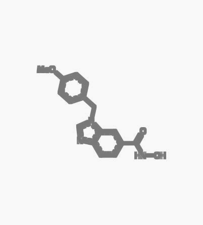 COc1ccc(Cn2cnc3ccc(C(=O)NO)cc32)cc1